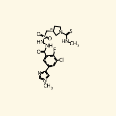 CNC(=S)N1CC[C@H](CS(=O)(=O)NNC(=O)c2cc(-c3cn(C)cn3)cc(Cl)c2F)C1